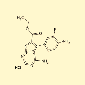 CCOC(=O)c1cn2ncnc(N)c2c1-c1ccc(N)c(F)c1.Cl